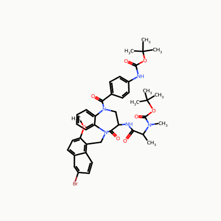 COc1ccc2cc(Br)ccc2c1CN1C(=O)C(NC(=O)C(C)N(C)C(=O)OC(C)(C)C)CN(C(=O)c2ccc(NC(=O)OC(C)(C)C)cc2)c2ccccc21